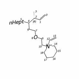 C=C[C@@H](C)C(CCCCCCC)CCOCC[N+]1(C=C)CCCCC1